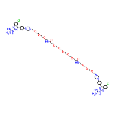 N=C(N)Nc1nc(-c2ccc(N3CCN(CCOCCOCCOCCNC(=O)CCOCCOCCOCCOCCOCCC(=O)NCCOCCOCCOCCN4CCN(c5ccc(-c6nc(NC(=N)N)nc7ccc(Cl)cc67)cc5)CC4)CC3)cc2)c2cc(Cl)ccc2n1